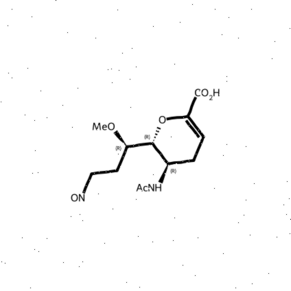 CO[C@H](CCN=O)[C@@H]1OC(C(=O)O)=CC[C@H]1NC(C)=O